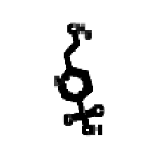 CCCc1ccc(S(=O)(=O)O)cn1